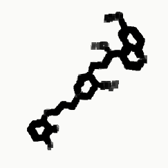 COc1ccc2nccc([C@@H](O)CC[C@@H]3CCN(CCCSc4cccc(F)c4F)C[C@@H]3C(=O)O)c2c1